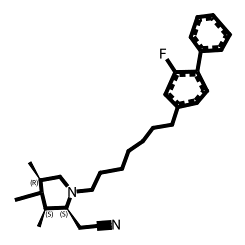 CC1[C@@H](C)CN(CCCCCCCc2ccc(-c3ccccc3)c(F)c2)[C@@H](CC#N)[C@H]1C